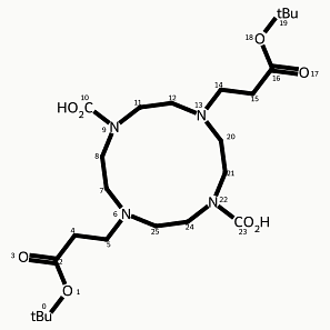 CC(C)(C)OC(=O)CCN1CCN(C(=O)O)CCN(CCC(=O)OC(C)(C)C)CCN(C(=O)O)CC1